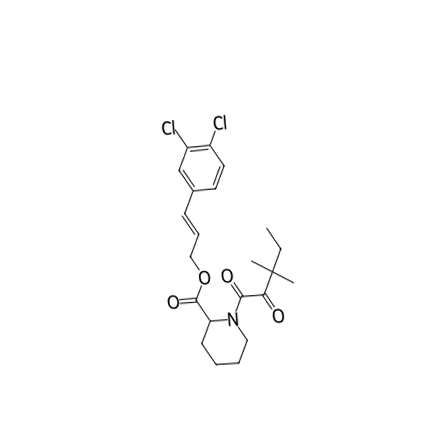 CCC(C)(C)C(=O)C(=O)N1CCCCC1C(=O)OC/C=C/c1ccc(Cl)c(Cl)c1